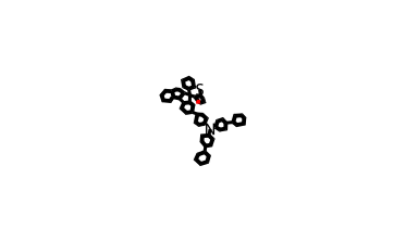 c1ccc(-c2ccc(N(c3ccc(-c4ccccc4)cc3)c3ccc(-c4ccc5c(c4)C4(c6ccccc6Sc6ccccc64)c4ccc6ccccc6c4-5)cc3)cc2)cc1